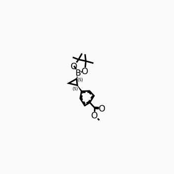 COC(=O)c1ccc([C@H]2C[C@@H]2B2OC(C)(C)C(C)(C)O2)cc1